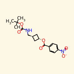 CC(C)(C)OC(=O)NC[C@H]1C[C@H](OC(=O)c2ccc([N+](=O)[O-])cc2)C1